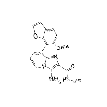 CCCNC(=O)c1nc2c(-c3c(OC)ccc4ccoc34)cccn2c1N